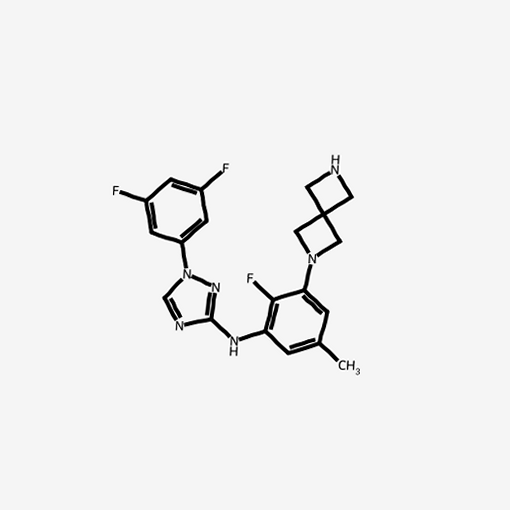 Cc1cc(Nc2ncn(-c3cc(F)cc(F)c3)n2)c(F)c(N2CC3(CNC3)C2)c1